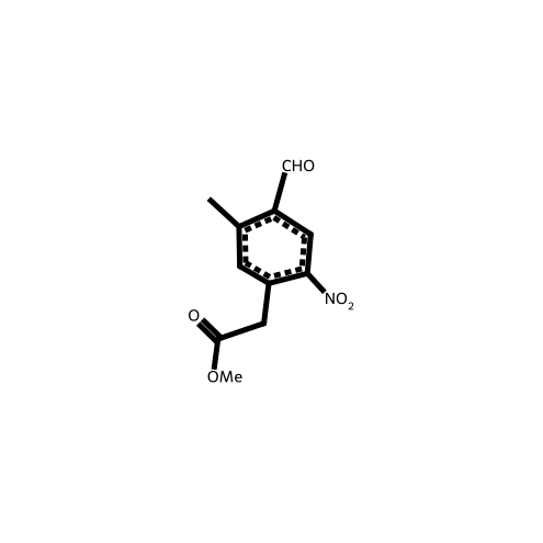 COC(=O)Cc1cc(C)c(C=O)cc1[N+](=O)[O-]